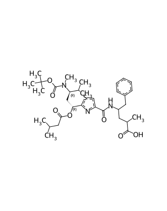 CC(C)CC(=O)O[C@H](C[C@H](C(C)C)N(C)C(=O)OC(C)(C)C)c1nc(C(=O)NC(Cc2ccccc2)CC(C)C(=O)O)cs1